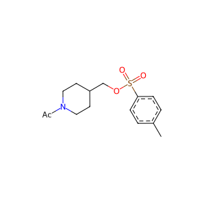 CC(=O)N1CCC(COS(=O)(=O)c2ccc(C)cc2)CC1